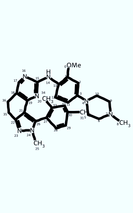 COc1cc(N2CCN(C)CC2)ccc1Nc1ncc2c(n1)-c1c(nn(C)c1-c1ccc(C)cc1C)CC2